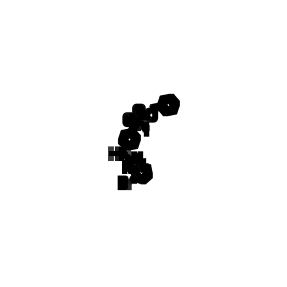 O=C(OCc1ccccc1)N(I)C(=O)c1ccc(Nc2nc3c(Br)cccn3n2)cc1